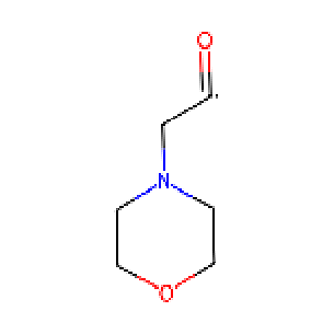 O=[C]CN1CCOCC1